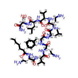 CCCCCCC(=O)N[C@@H](CCN)C(=O)N[C@H](C(=O)N[C@@H](CCN)C(=O)N[C@H](Cc1ccccc1)C(=O)N[C@@H](CC(C)C)C(=O)N[C@@H](CCN)C(=O)N[C@@H](C(=O)N[C@@H](CC(C)C)C(=O)N[C@@H](CO)C(N)=O)C(C)C)C(C)C